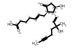 CC#CCCC(C)(O)C=C[C@H]1[C@H](O)CC(=O)[C@@H]1CC=CCCCC(=O)O